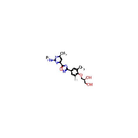 CCc1cc(-c2noc(-c3cc(C)nc(NC(C)C)n3)n2)cc(C)c1OC[C@@H](O)CO